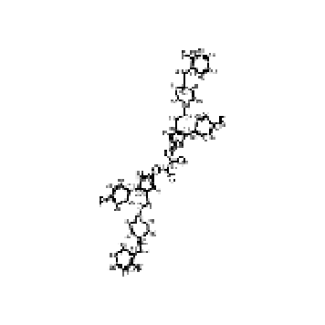 O=C(On1cc(CCN2CCC(=Cc3ccccc3F)CC2)c(-c2ccc(F)cc2)n1)C(=O)On1cc(CCN2CCC(=Cc3ccccc3F)CC2)c(-c2ccc(F)cc2)n1